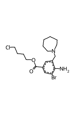 Nc1c(Br)cc(C(=O)OCCCCCl)cc1CN1CCCCCC1